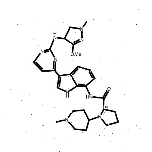 COC1=NN(C)CC1Nc1nccc(-c2c[nH]c3c(NC(=O)[C@H]4CCCN4C4CCN(C)CC4)cccc23)n1